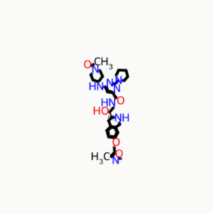 CC(=O)N1CCC(Nc2cc(C(=O)NCC(O)[C@@H]3Cc4ccc(OCc5ocnc5C)cc4CN3)nc(N3CCCCC3)n2)CC1